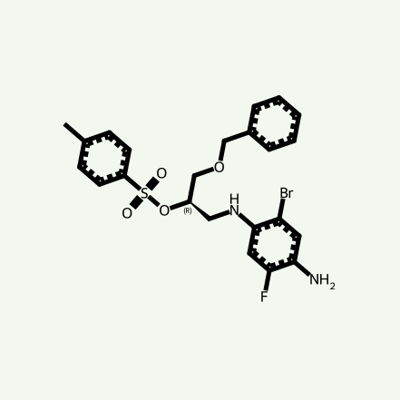 Cc1ccc(S(=O)(=O)O[C@H](CNc2cc(F)c(N)cc2Br)COCc2ccccc2)cc1